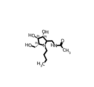 CCCCN1C(CNC(C)=O)[C@@H](O)[C@H](O)[C@H]1CO